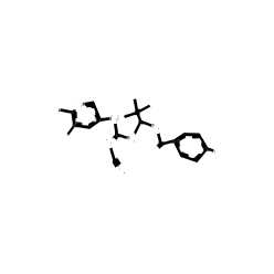 CC(C)(C)C(NC(=O)c1ccc(Cl)cc1)N/C(=N\C#N)Nc1cnc(Cl)c(Br)c1